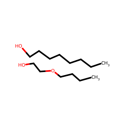 CCCCCCCCO.CCCCOCCO